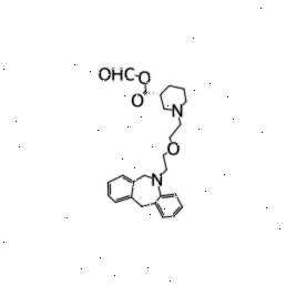 O=COC(=O)[C@@H]1CCCN(CCOCCN2Cc3ccccc3Cc3ccccc32)C1